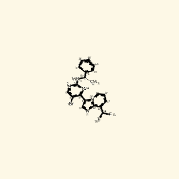 C[C@H](Nc1ncc(Br)c(-c2cnc3c(C(F)F)cccn23)n1)c1ccccc1